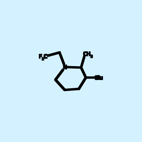 CC1C(C(C)(C)C)CCCN1CC(F)(F)F